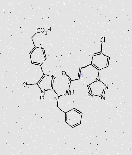 O=C(O)Cc1ccc(-c2nc([C@H](Cc3ccccc3)NC(=O)/C=C/c3cc(Cl)ccc3-n3cnnn3)[nH]c2Cl)cc1